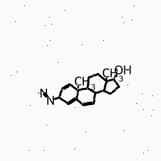 C[C@]12C=CC(N=[N])C=C1C=CC1C2CC[C@@]2(C)C1CC[C@@H]2O